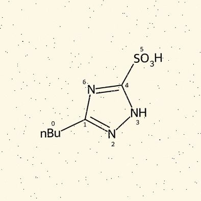 CCCCc1n[nH]c(S(=O)(=O)O)n1